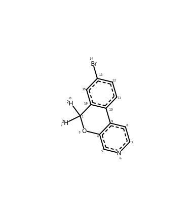 [2H]C1([2H])Oc2cnccc2-c2ccc(Br)cc21